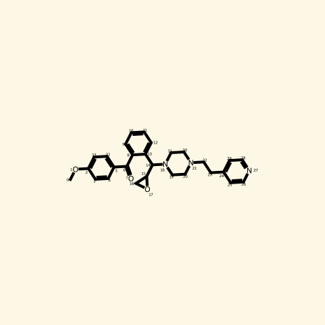 COc1ccc(C(=O)c2ccccc2C(C2CO2)N2CCN(CCc3ccncc3)CC2)cc1